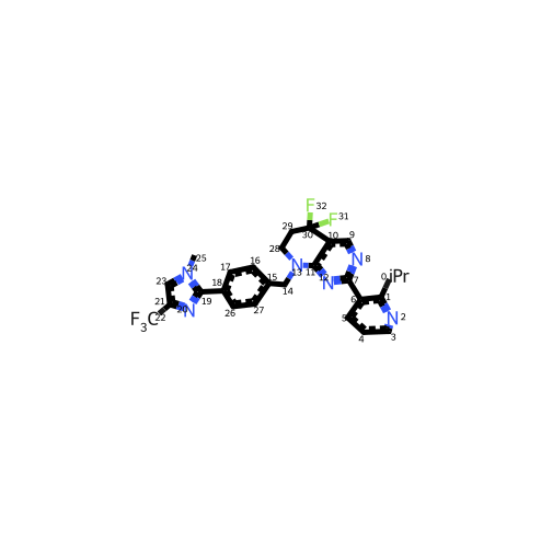 CC(C)c1ncccc1-c1ncc2c(n1)N(Cc1ccc(-c3nc(C(F)(F)F)cn3C)cc1)CCC2(F)F